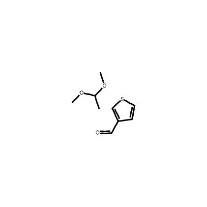 COC(C)OC.O=Cc1ccsc1